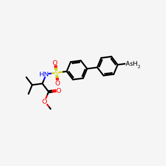 COC(=O)C(NS(=O)(=O)c1ccc(-c2ccc([AsH2])cc2)cc1)C(C)C